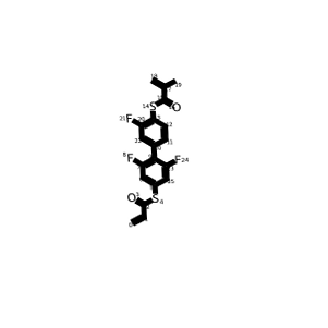 C=CC(=O)Sc1cc(F)c(-c2ccc(SC(=O)C(=C)C)c(F)c2)c(F)c1